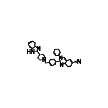 N#Cc1ccc2c(c1)=CN(c1ccccc1)C(c1ccc(CN3CCC(c4nc5ccccc5[nH]4)CC3)cc1)N=2